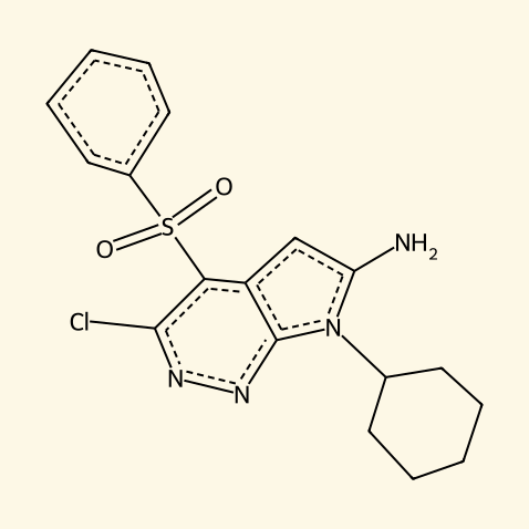 Nc1cc2c(S(=O)(=O)c3ccccc3)c(Cl)nnc2n1C1CCCCC1